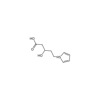 O=C(O)CC(O)CC[SH]1C=CC=C1